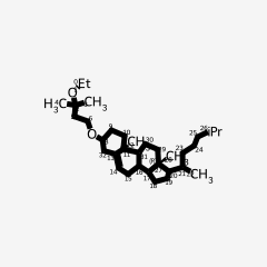 CCOC(C)(C)CCOC1CC[C@@]2(C)C(=CCC3C4CCC(C(C)CCCC(C)C)[C@@]4(C)CCC32)C1